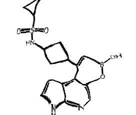 O=S(=O)(NC1CC(C2=CB(O)Oc3cnc4[nH]ccc4c32)C1)C1CC1